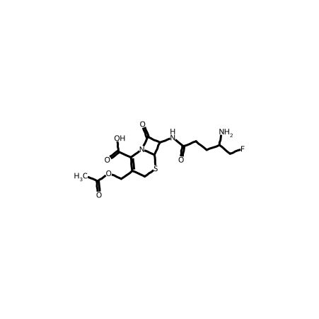 CC(=O)OCC1=C(C(=O)O)N2C(=O)C(NC(=O)CCC(N)CF)C2SC1